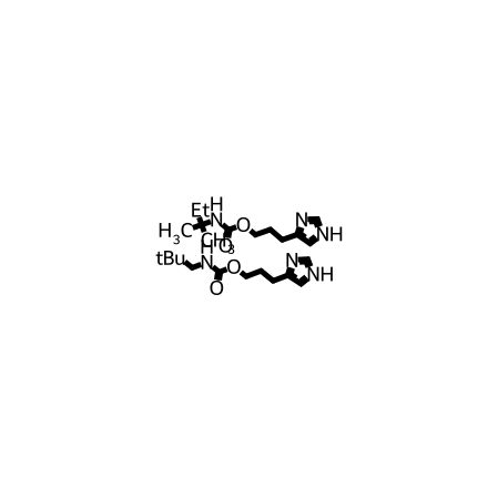 CC(C)(C)CNC(=O)OCCCc1c[nH]cn1.CCC(C)(C)NC(=O)OCCCc1c[nH]cn1